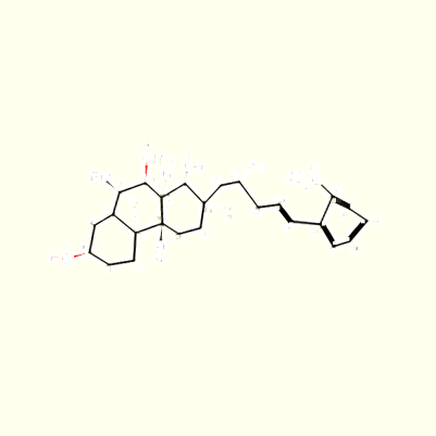 CCC[C@H]1[C@@H]2[C@H](O)[C@H](CC)C3C[C@H](O)CC[C@]3(C)[C@H]2CC[C@]1(C)C[C@H](C)C/C=C/c1ccccc1C(=O)O